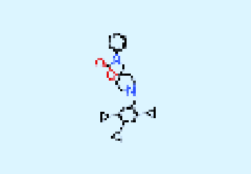 O=C1OC2(CCN(Cc3cc(C4CC4)c(C4CC4)cc3C3CC3)CC2)CN1c1ccccc1